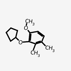 COc1ccc(C)c(C)c1OC1CCCC1